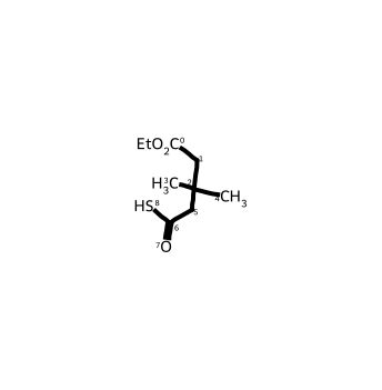 CCOC(=O)CC(C)(C)CC(=O)S